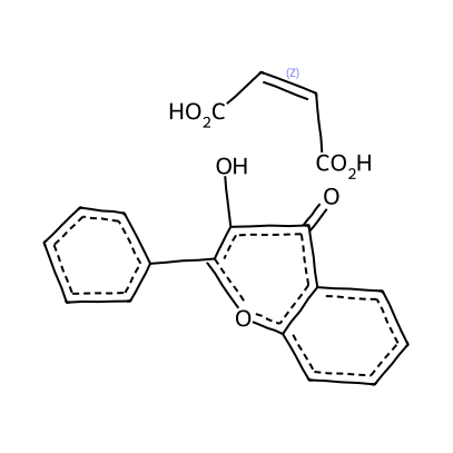 O=C(O)/C=C\C(=O)O.O=c1c(O)c(-c2ccccc2)oc2ccccc12